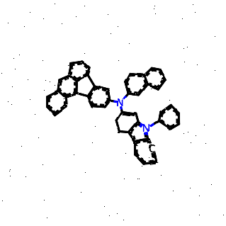 C1=C(N(c2ccc3c(c2)-c2cccc4cc5ccccc5c-3c24)c2ccc3ccccc3c2)CCc2c1n(-c1ccccc1)c1ccccc21